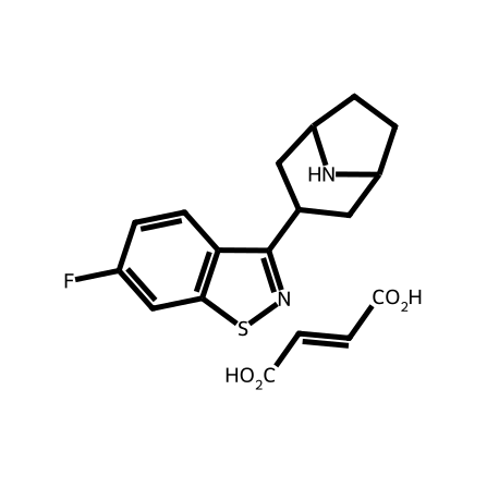 Fc1ccc2c(C3CC4CCC(C3)N4)nsc2c1.O=C(O)C=CC(=O)O